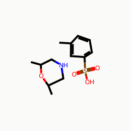 CC1CNCC(C)O1.Cc1cccc(S(=O)(=O)O)c1